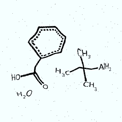 C[C](C)(C)[AlH2].O.O=C(O)c1ccccc1